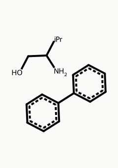 CC(C)C(N)CO.c1ccc(-c2ccccc2)cc1